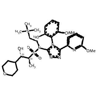 COC1=NC(c2nnc(N(CC[Si](C)(C)C)S(=O)(=O)[C@@H](C)[C@@H](O)C3CCOCC3)n2-c2c(O)cccc2OC)=C=C=C1